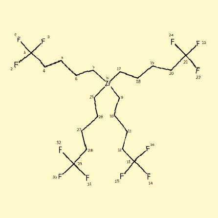 FC(F)(F)CCC[CH2][Zr]([CH2]CCCC(F)(F)F)([CH2]CCCC(F)(F)F)[CH2]CCCC(F)(F)F